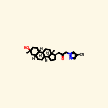 C[C@@]1(O)CC[C@H]2[C@H](CC[C@@H]3[C@@H]2CC[C@]2(C)[C@@H](CC(=O)Cn4cc(C#N)cn4)CC[C@@H]32)C1